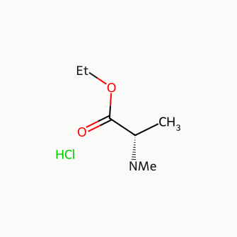 CCOC(=O)[C@H](C)NC.Cl